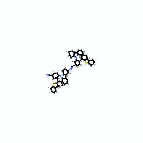 N#Cc1ccc(-n2c3ccccc3c3cc([N+]#Cc4ccc(-c5cccc6c5sc5ccccc56)c(-n5c6ccccc6c6ccccc65)c4)ccc32)c(-c2cccc3c2sc2ccccc23)c1